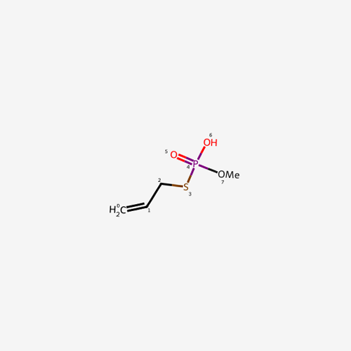 C=CCSP(=O)(O)OC